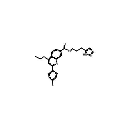 CCOc1cc(-c2ccc(C)cc2)nc2cc(C(=O)NCCCc3cnn[nH]3)ccc12